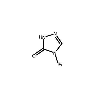 CC(C)n1cn[nH]c1=O